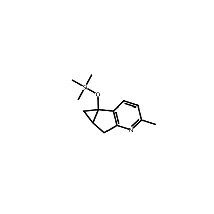 Cc1ccc2c(n1)CC1CC21O[Si](C)(C)C